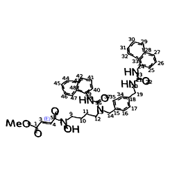 COC(=O)/C=C/C(=O)N(O)CCCCN(Cc1ccc(CNC(=O)Nc2cccc3ccccc23)cc1)C(=O)Nc1cccc2ccccc12